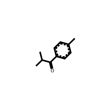 Cc1ccc(C(=O)C(C)C)cc1